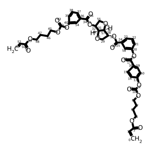 C=CC(=O)OCCCCOC(=O)Oc1ccc(C(=O)Oc2cccc(C(=O)O[C@@H]3CO[C@H]4C(OC(=O)c5cccc(OC(=O)OCCCCOC(=O)C=C)c5)CO[C@@H]34)c2)cc1